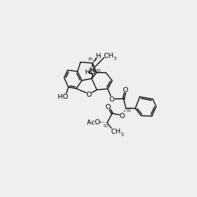 CC(=O)O[C@@H](C)C(=O)O[C@H](C(=O)OC1=CC[C@@]2(O)[C@H]3Cc4ccc(O)c5c4C2(CCN3C)C1O5)c1ccccc1